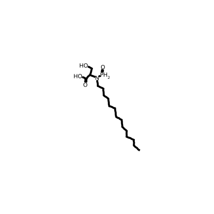 CCCCCCCCCCCCCCN([PH2]=O)C(CO)C(=O)O